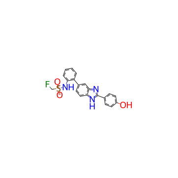 O=S(=O)(CF)Nc1ccccc1-c1ccc2[nH]c(-c3ccc(O)cc3)nc2c1